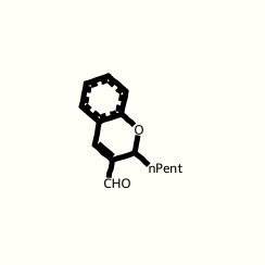 CCCCCC1Oc2ccccc2C=C1C=O